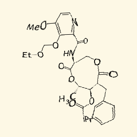 CCOCOc1c(OC)ccnc1C(=O)N[C@H]1COC(=O)C(Cc2ccccc2)[C@@H](OC(=O)C(C)C)[C@H](C)OC1=O